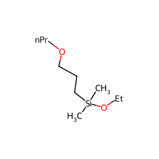 CCCOCCC[Si](C)(C)OCC